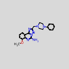 COc1cccc2c1nc(N)n1nc(CN3CCN(c4ccccc4)CC3)nc21